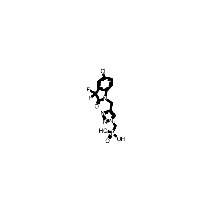 O=C1N(Cc2cn(CP(=O)(O)O)nn2)c2ccc(Cl)cc2C1(F)F